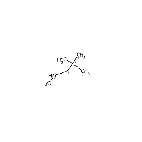 CC(C)(C)CN[O]